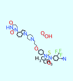 CC1(C)C(=O)N(c2ccc(C#N)c(C(F)(F)F)c2)C(=S)N1c1ccc(OCCCN2CCC(n3ccc4c(N5CCC(=O)NC5=O)cccc43)CC2)cc1.O=CO